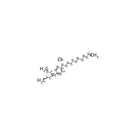 C=CC[S+](CC=C)Cc1ccc(CCCCCCCCCCCC)cc1.[Cl-]